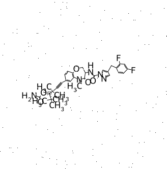 CN1C(=O)C(NC(=O)n2cc(Cc3ccc(F)cc3F)cn2)COc2ccc(C#CC(C)(C)[C@@H](OC(N)=O)C(C)(C)C)cc21